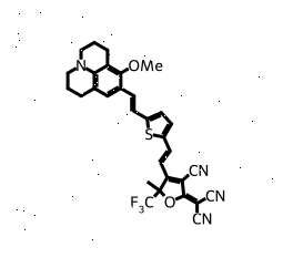 COc1c(C=Cc2ccc(C=CC3=C(C#N)C(=C(C#N)C#N)OC3(C)C(F)(F)F)s2)cc2c3c1CCCN3CCC2